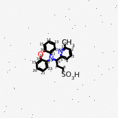 Cc1cccc(C(CCS(=O)(=O)O)N2c3ccccc3Oc3ccccc32)n1